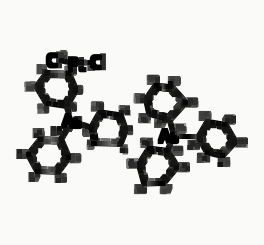 [Cl][Pt][Cl].c1ccc([As](c2ccccc2)c2ccccc2)cc1.c1ccc([As](c2ccccc2)c2ccccc2)cc1